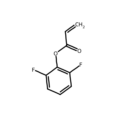 C=CC(=O)Oc1c(F)cccc1F